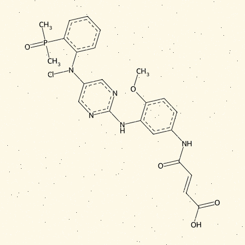 COc1ccc(NC(=O)C=CC(=O)O)cc1Nc1ncc(N(Cl)c2ccccc2P(C)(C)=O)cn1